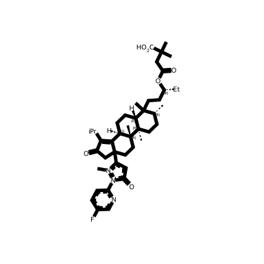 CC[C@H](CCC1(C)[C@H](C)CC[C@]2(C)[C@@H]1CC[C@@H]1C3=C(C(C)C)C(=O)CC3(c3cc(=O)n(-c4ccc(F)cn4)n3C)CC[C@]12C)OC(=O)CC(C)(C)C(=O)O